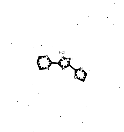 Cl.c1cnc(-c2n[nH]c(-c3ncco3)n2)nc1